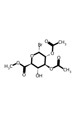 COC(=O)[C@H]1O[C@H](Br)[C@H](OC(C)=O)[C@@H](OC(C)=O)[C@@H]1O